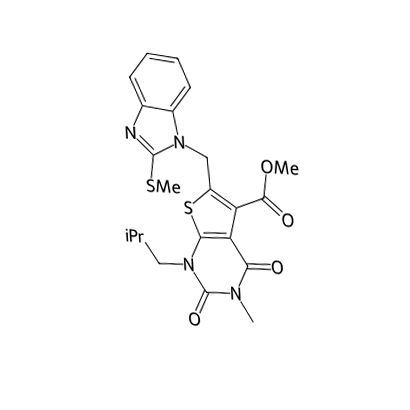 COC(=O)c1c(Cn2c(SC)nc3ccccc32)sc2c1c(=O)n(C)c(=O)n2CC(C)C